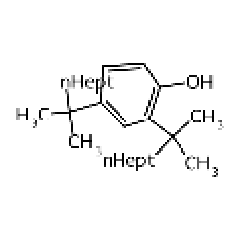 CCCCCCCC(C)(C)c1ccc(O)c(C(C)(C)CCCCCCC)c1